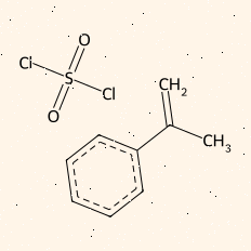 C=C(C)c1ccccc1.O=S(=O)(Cl)Cl